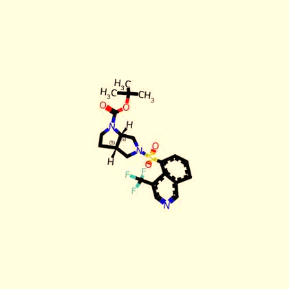 CC(C)(C)OC(=O)N1CC[C@H]2CN(S(=O)(=O)c3cccc4cncc(C(F)(F)F)c34)C[C@H]21